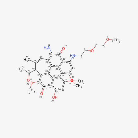 COCCOCCNc1cc(OC)c2c3c(OC)cc(O)c4c(=O)c(OC)c5c(c6c(c(N)c(=O)c1c26)C=C(C)C5C(C)=O)c43